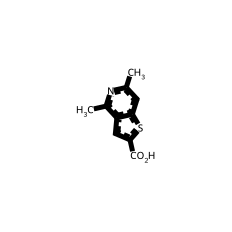 Cc1cc2sc(C(=O)O)cc2c(C)n1